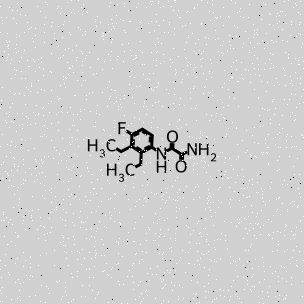 CCc1c(F)ccc(NC(=O)C(N)=O)c1CC